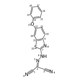 N#CC(C#N)=NNc1nc2ccc(Oc3ccccc3)cc2s1